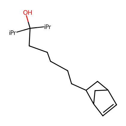 CC(C)C(O)(CCCCCC1CC2C=CC1C2)C(C)C